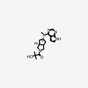 CN(c1ncnc2[nH]ccc12)[C@@H]1CC2CN(C(=O)C(C)(C)O)C[C@H]2C1